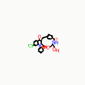 O=C1NC(CO)COOC(=O)c2c(c(=O)c3ccc(Cl)cc3n2-c2ccccc2)Cc2ccc1cc2